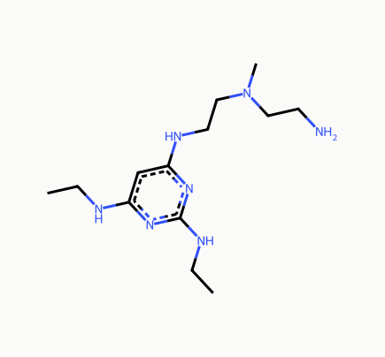 CCNc1cc(NCCN(C)CCN)nc(NCC)n1